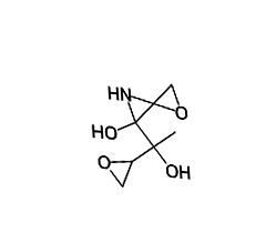 CC(O)(C1CO1)C1(O)NC12CO2